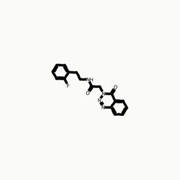 O=C(Cn1nnc2ccccc2c1=O)NCCc1ccccc1F